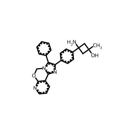 CC1(O)CC(N)(c2ccc(-c3nc4n(c3-c3ccccc3)COc3ncccc3-4)cc2)C1